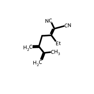 C=C(C)C(=C)CC(CC)=C(C#N)C#N